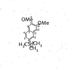 COc1cc2cc[c]([Sn]([CH3])([CH3])[CH3])cc2cc1OC